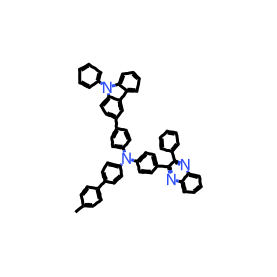 Cc1ccc(-c2ccc(N(c3ccc(-c4ccc5c(c4)c4ccccc4n5-c4ccccc4)cc3)c3ccc(-c4nc5ccccc5nc4-c4ccccc4)cc3)cc2)cc1